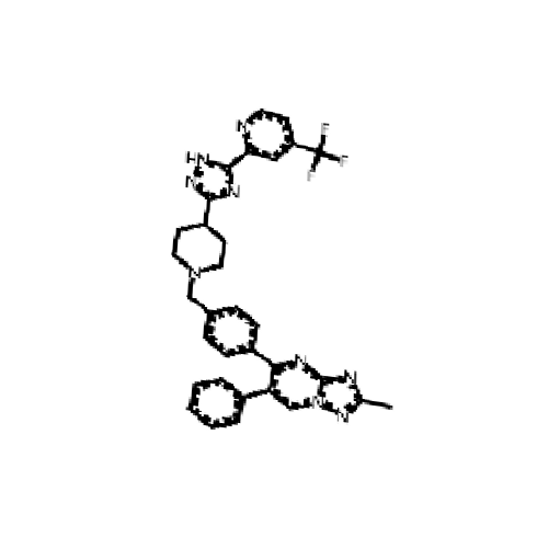 Cc1nc2nc(-c3ccc(CN4CCC(c5n[nH]c(-c6cc(C(F)(F)F)ccn6)n5)CC4)cc3)c(-c3ccccc3)cn2n1